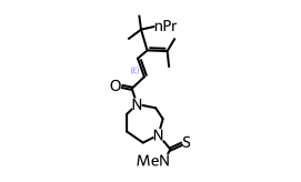 CCCC(C)(C)C(/C=C/C(=O)N1CCCN(C(=S)NC)CC1)=C(C)C